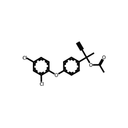 C#CC(C)(OC(C)=O)c1ccc(Oc2ccc(Cl)cc2Cl)cc1